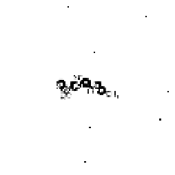 Cc1ccc2c(c1)CCN2C(=O)c1ccc(C#N)c(N2CCC(n3c(=O)[nH]c4ncccc43)CC2)c1